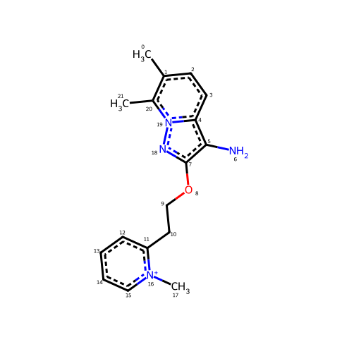 Cc1ccc2c(N)c(OCCc3cccc[n+]3C)nn2c1C